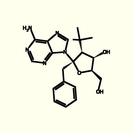 CC(C)(C)[C@@H]1[C@H](O)[C@@H](CO)O[C@@]1(Cc1ccccc1)n1cnc2c(N)ncnc21